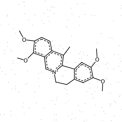 COc1cc2c(cc1OC)-c1c(C)c3ccc(OC)c(OC)c3c[n+]1CC2